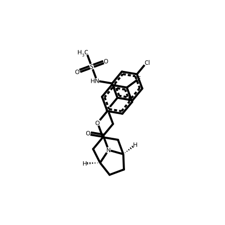 CS(=O)(=O)Nc1cc(Cl)ccc1OCC(=O)N1[C@@H]2CC[C@H]1CC(Oc1ccc(F)cc1)C2